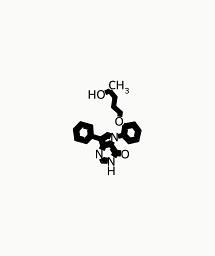 CC(O)CCCOc1ccccc1-n1cc(-c2ccccc2)c2nc[nH]c(=O)c21